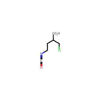 O=C=NCCC(CCl)C(=O)O